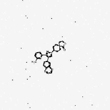 Cc1cccc(-c2nn(C3CCC4(CCOC4=O)CC3)cc2-c2ccc3nccnc3c2)n1